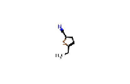 CCC1=CCC(C#N)S1